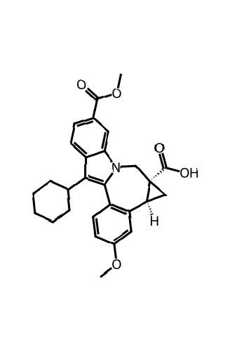 COC(=O)c1ccc2c(C3CCCCC3)c3n(c2c1)C[C@@]1(C(=O)O)C[C@H]1c1cc(OC)ccc1-3